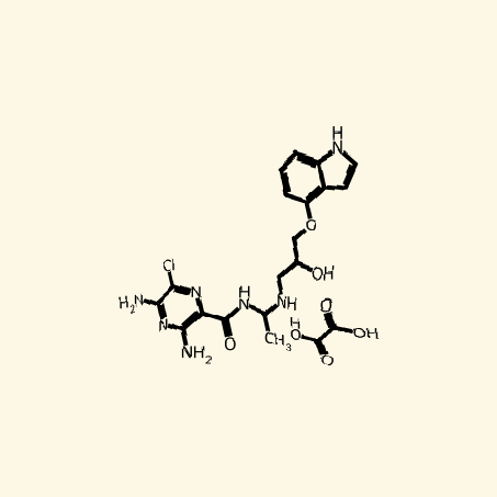 CC(NCC(O)COc1cccc2[nH]ccc12)NC(=O)c1nc(Cl)c(N)nc1N.O=C(O)C(=O)O